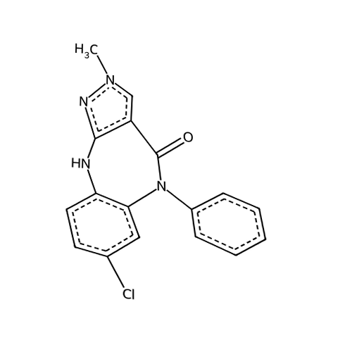 Cn1cc2c(n1)Nc1ccc(Cl)cc1N(c1ccccc1)C2=O